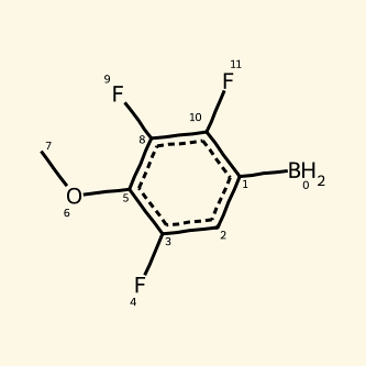 Bc1cc(F)c(OC)c(F)c1F